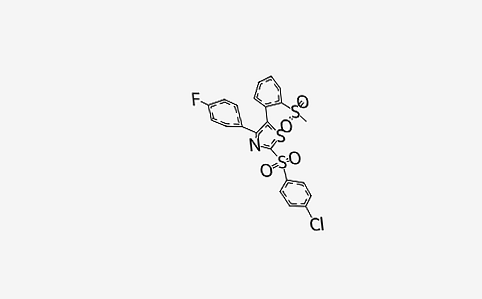 CS(=O)(=O)c1ccccc1-c1sc(S(=O)(=O)c2ccc(Cl)cc2)nc1-c1ccc(F)cc1